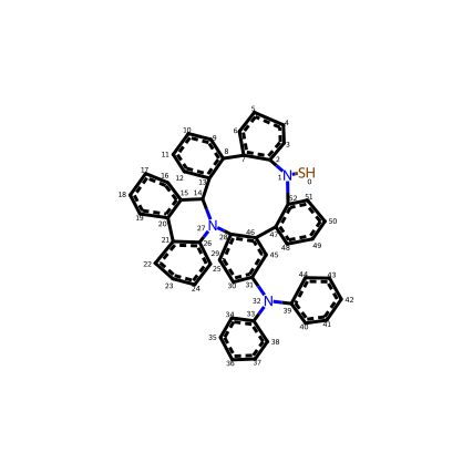 SN1c2ccccc2-c2ccccc2C2c3ccccc3-c3ccccc3N2c2ccc(N(c3ccccc3)c3ccccc3)cc2-c2ccccc21